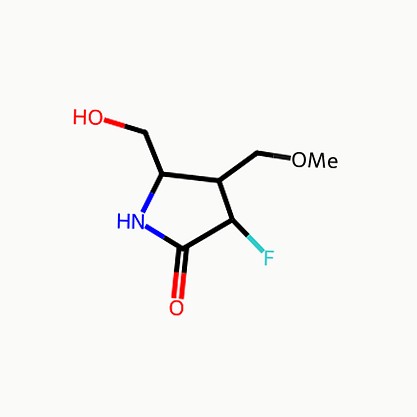 COCC1C(CO)NC(=O)C1F